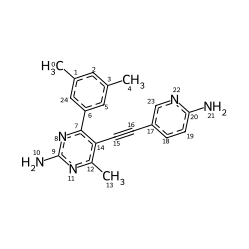 Cc1cc(C)cc(-c2nc(N)nc(C)c2C#Cc2ccc(N)nc2)c1